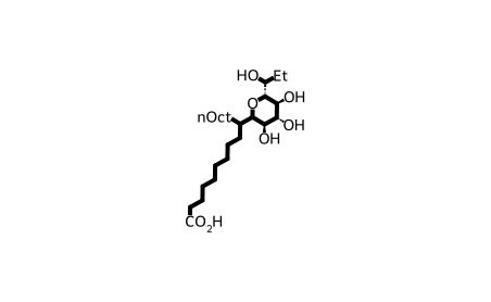 CCCCCCCCC(CCCCCCCCC(=O)O)C1O[C@H](C(O)CC)[C@@H](O)[C@H](O)[C@H]1O